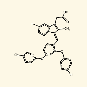 CC1=C(CC(=O)O)c2cc(F)ccc2/C1=C\c1ccc(Oc2ccc(Cl)cc2)cc1Oc1ccc(Cl)cc1